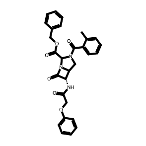 Cc1ccccc1C(=O)N1CC2[C@H](NC(=O)COc3ccccc3)C(=O)N2C1C(=O)OCc1ccccc1